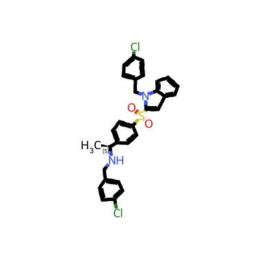 C[C@H](NCc1ccc(Cl)cc1)c1ccc(S(=O)(=O)c2cc3ccccc3n2Cc2ccc(Cl)cc2)cc1